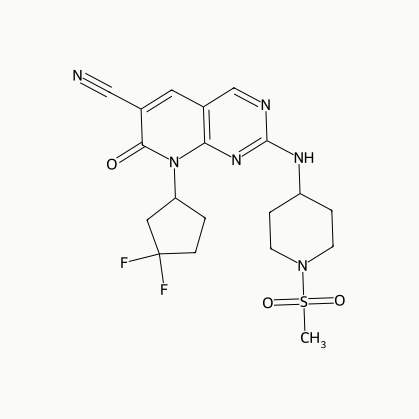 CS(=O)(=O)N1CCC(Nc2ncc3cc(C#N)c(=O)n(C4CCC(F)(F)C4)c3n2)CC1